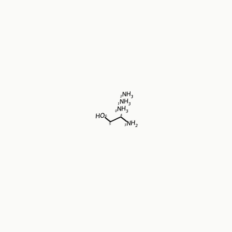 N.N.N.NCCO